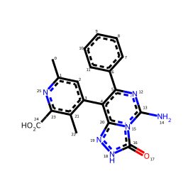 Cc1cc(-c2c(-c3ccccc3)nc(N)n3c(=O)[nH]nc23)c(C)c(C(=O)O)n1